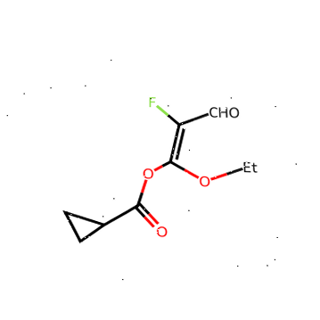 CCOC(OC(=O)C1CC1)=C(F)C=O